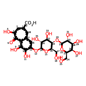 O=C(O)c1cc(O)c(=O)c2c(O)c(O)c(O[C@@H]3O[C@H](CO)[C@@H](O[C@@H]4O[C@H](CO)[C@H](O)[C@H](O)[C@H]4O)[C@H](O)[C@H]3O)cc2c1